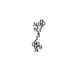 CO[SiH](CCCSSCCC[SiH](OC)OC(CN(C)C)N(C)C)OC(CN(C)C)N(C)C